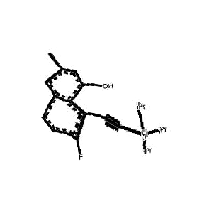 Cc1cc(O)c2c(C#C[Si](C(C)C)(C(C)C)C(C)C)c(F)ccc2c1